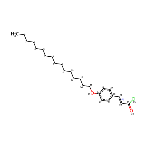 CCCCCCCCCCCCCCCCOc1ccc(/C=C/C(=O)Cl)cc1